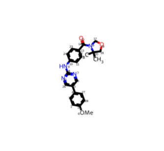 COc1ccc(-c2cnc(Nc3ccc(C(=O)N4COCC4(C)C)cc3)nc2)cc1